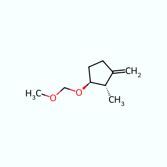 C=C1CC[C@H](OCOC)[C@H]1C